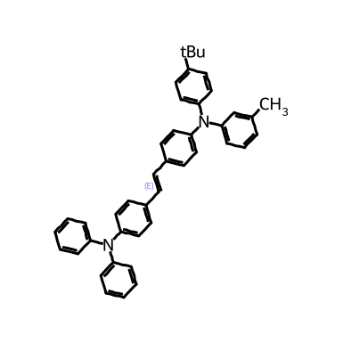 Cc1cccc(N(c2ccc(/C=C/c3ccc(N(c4ccccc4)c4ccccc4)cc3)cc2)c2ccc(C(C)(C)C)cc2)c1